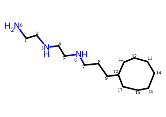 NCCNCCNCCCC1CCCCCCC1